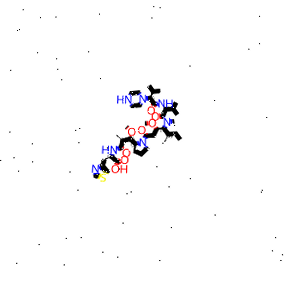 CC[C@H](C)[C@@H](C(CC(=O)N1CCC[C@H]1[C@H](OC)[C@@H](C)C(=O)N[C@@H](Cc1cscn1)C(=O)O)OC)N(C)C(=O)[C@@H](NC(=O)[C@H](C(C)C)N1CCNCC1)C(C)C